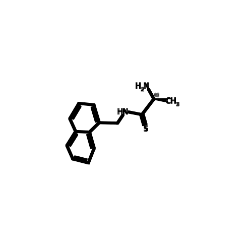 C[C@H](N)C(=S)NCc1cccc2ccccc12